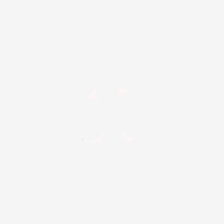 CCOc1[c]c(OCC)c(OCC)cc1OCC